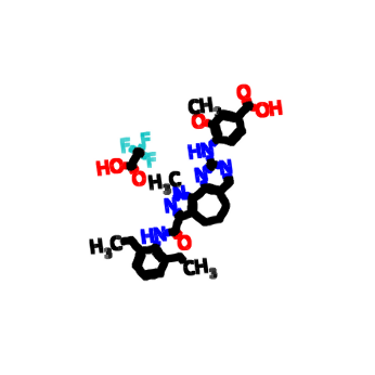 CCc1cccc(CC)c1NC(=O)c1nn(C)c2c1CCCc1cnc(Nc3ccc(C(=O)O)cc3OC)nc1-2.O=C(O)C(F)(F)F